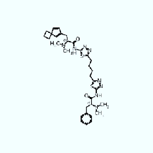 CN(C)[C@@H](CC1=CC2(C=C1)CCC2)C(=O)Nc1nnc(CCCCc2nnc(NC(=O)[C@H](Cc3ccccc3)N(C)C)s2)s1